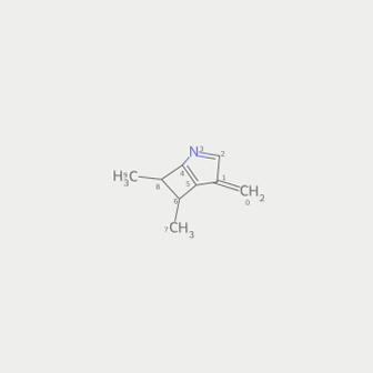 C=C1C=NC2=C1C(C)C2C